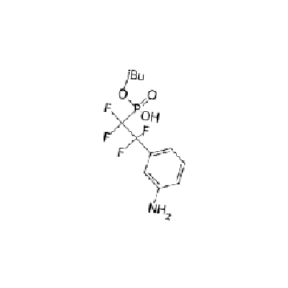 CCC(C)OP(=O)(O)C(F)(F)C(F)(F)c1cccc(N)c1